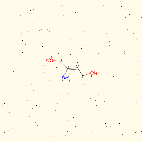 NC(=CCO)CO